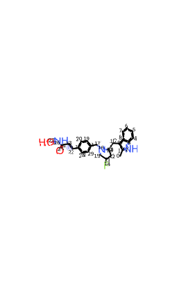 Cc1[nH]c2ccccc2c1C[C@H]1CC(F)CN1Cc1ccc(/C=C/C(=O)NO)cc1